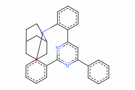 c1ccc(-c2cc(-c3ccccc3N3C4CC5CC(C4)CC3C5)nc(-c3ccccc3)n2)cc1